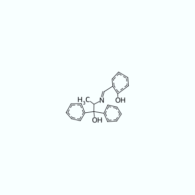 CC(N=Cc1ccccc1O)C(O)(c1ccccc1)c1ccccc1